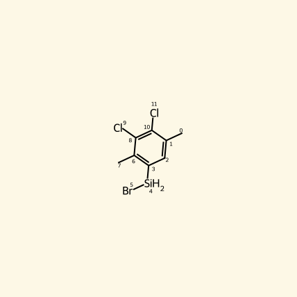 Cc1cc([SiH2]Br)c(C)c(Cl)c1Cl